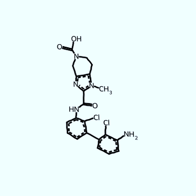 Cn1c(C(=O)Nc2cccc(-c3cccc(N)c3Cl)c2Cl)nc2c1CCN(C(=O)O)C2